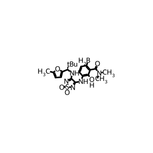 Bc1ccc(NC2=NS(=O)(=O)N=C2N[C@@H](c2ccc(C)o2)C(C)(C)C)c(O)c1C(=O)N(C)C